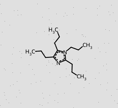 CCCc1nc(CCC)n(CCC)c1CCC